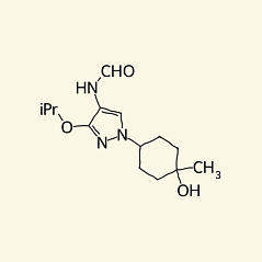 CC(C)Oc1nn(C2CCC(C)(O)CC2)cc1NC=O